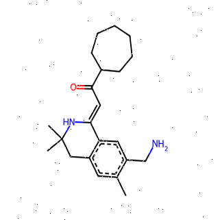 Cc1cc2c(cc1CN)/C(=C/C(=O)C1CCCCCC1)NC(C)(C)C2